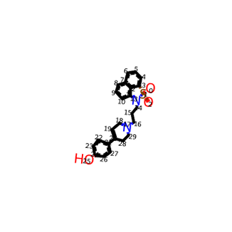 O=S1(=O)c2cccc3cccc(c23)N1CCCN1CC=C(c2ccc(O)cc2)CC1